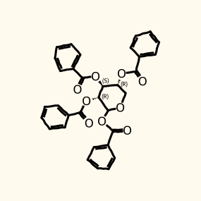 O=C(OC1OC[C@@H](OC(=O)c2ccccc2)[C@H](OC(=O)c2ccccc2)[C@H]1OC(=O)c1ccccc1)c1ccccc1